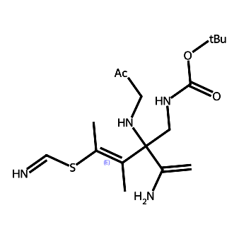 C=C(N)C(CNC(=O)OC(C)(C)C)(NCC(C)=O)/C(C)=C(\C)SC=N